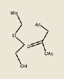 CC(=O)CC(=O)OC(C)=O.CC(C)(C)COCCO